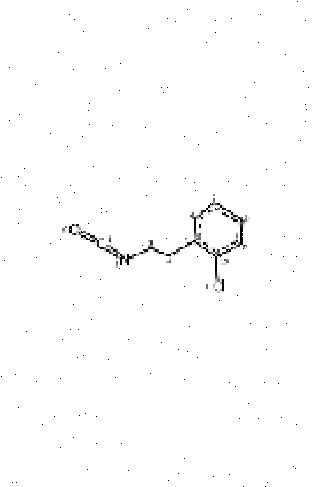 O=C=NCCc1ccccc1Cl